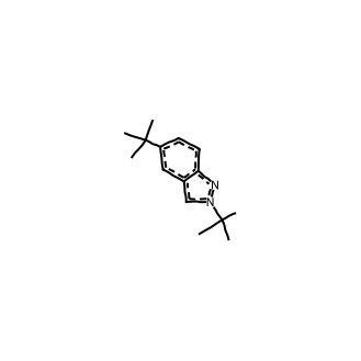 CC(C)(C)c1ccc2nn(C(C)(C)C)cc2c1